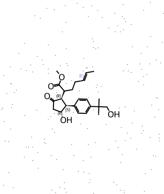 C/C=C/CCC(C(=O)OC)[C@@H]1C(=O)C[C@@H](O)[C@@H]1c1ccc(C(C)(C)CO)cc1